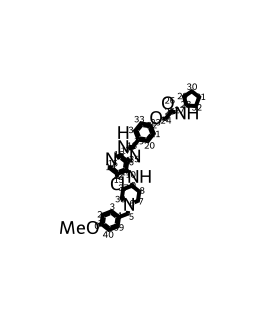 COc1ccc(CN2CCC(Nc3c(Cl)cnc4[nH]c(-c5ccc(OCC(=O)NC6CCCC6)cc5)nc34)CC2)cc1